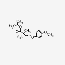 COc1ccc(OCCC(C)(C)C(=O)OC(C)C)cc1